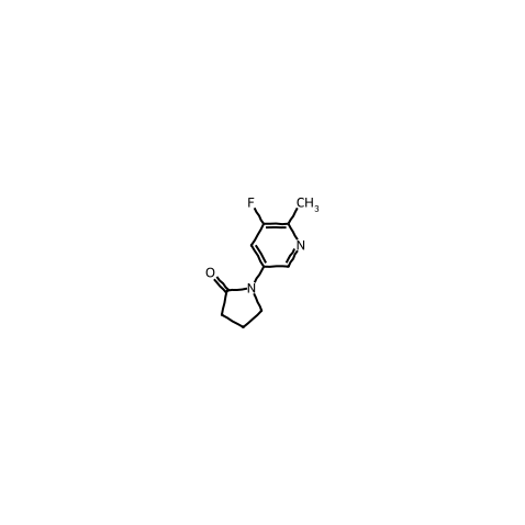 Cc1ncc(N2CCCC2=O)cc1F